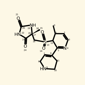 CC1C=CN=C(C2=CCNCC2)C1S(=O)(=O)C[C@@]1(C)NC(=O)NC1=O